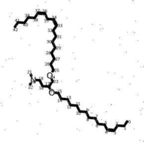 CCC/C=C\CCCCCCCCCCCOC(CCN(C)C)COCCCCCCCC/C=C\C/C=C\CCCCC